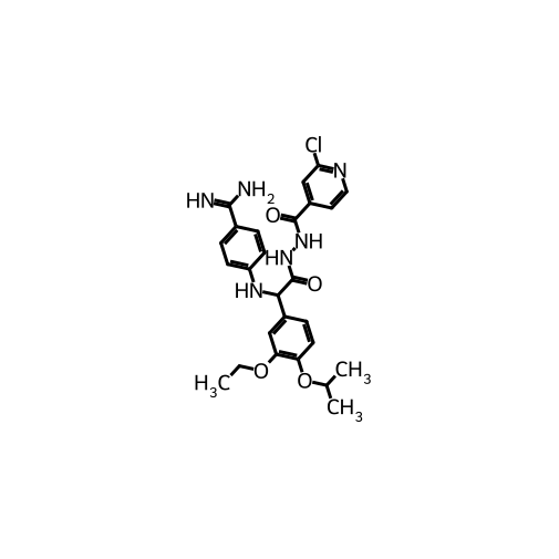 CCOc1cc(C(Nc2ccc(C(=N)N)cc2)C(=O)NNC(=O)c2ccnc(Cl)c2)ccc1OC(C)C